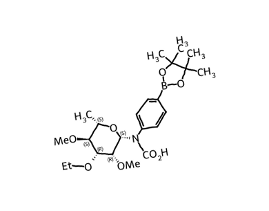 CCO[C@@H]1[C@@H](OC)[C@H](C)O[C@H](N(C(=O)O)c2ccc(B3OC(C)(C)C(C)(C)O3)cc2)[C@@H]1OC